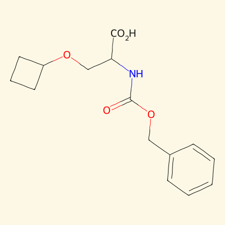 O=C(NC(COC1CCC1)C(=O)O)OCc1ccccc1